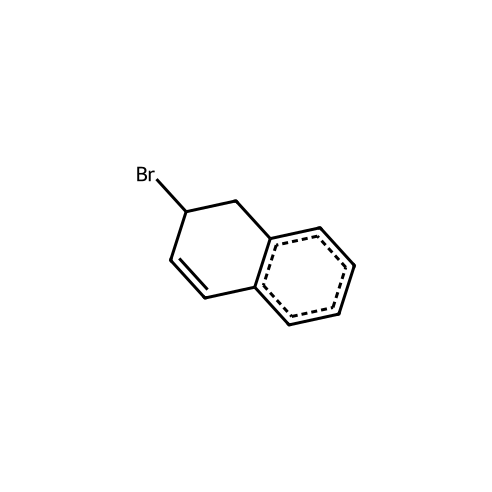 BrC1C=Cc2ccccc2C1